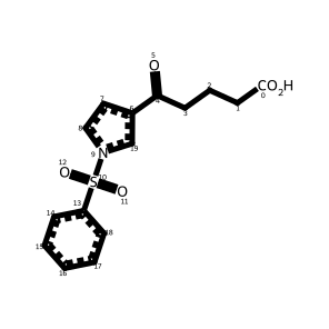 O=C(O)CCCC(=O)c1ccn(S(=O)(=O)c2ccccc2)c1